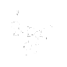 CN(C)CCn1c(=O)n([C@@H]2CCOc3c(F)ccc(F)c32)c2nc(-n3cnc4ccc(C#N)cc43)ncc21